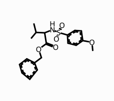 COc1ccc(S(=O)(=O)NC(C(=O)OCc2ccccc2)C(C)C)cc1